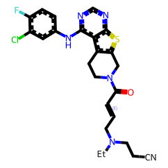 CCN(C/C=C/C(=O)N1CCc2c(sc3ncnc(Nc4ccc(F)c(Cl)c4)c23)C1)CCC#N